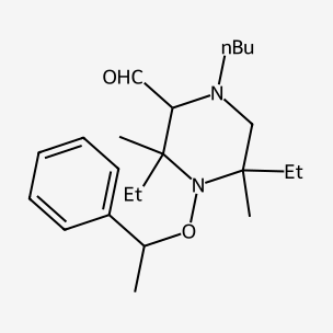 CCCCN1CC(C)(CC)N(OC(C)c2ccccc2)C(C)(CC)C1C=O